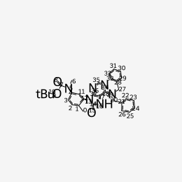 Cc1ccc(N(C)C(=O)OC(C)(C)C)cc1-n1c(=O)[nH]c2c(N(Cc3ccccc3)Cc3ccccc3)ncnc21